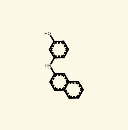 Oc1cccc(Nc2ccc3ccccc3c2)c1